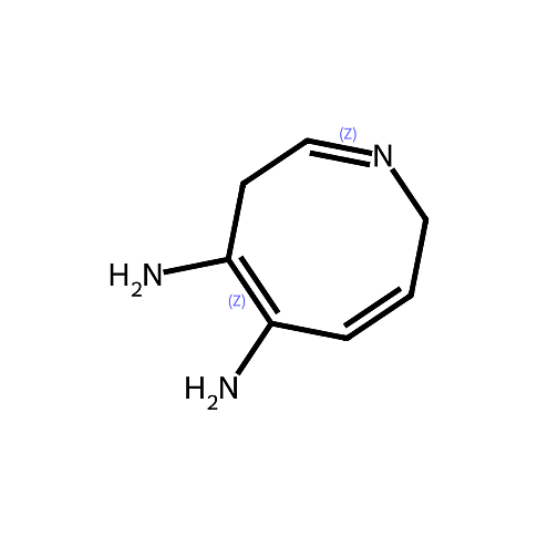 N/C1=C(\N)C/C=N\CC=C1